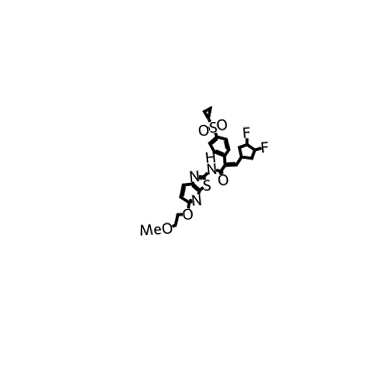 COCCOc1ccc2nc(NC(=O)/C(=C/C3CC(F)C(F)C3)c3ccc(S(=O)(=O)C4CC4)cc3)sc2n1